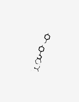 CC(CN1CCc2oc(-c3ccc(OCc4ccc(Cl)cc4)cc3)cc2C1)C(=O)O